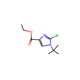 CCOC(=O)c1cn(C(C)(C)C)c(Br)n1